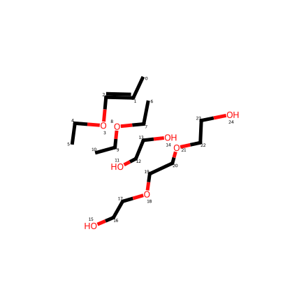 C/C=C/OCC.CCOCC.OCCO.OCCOCCOCCO